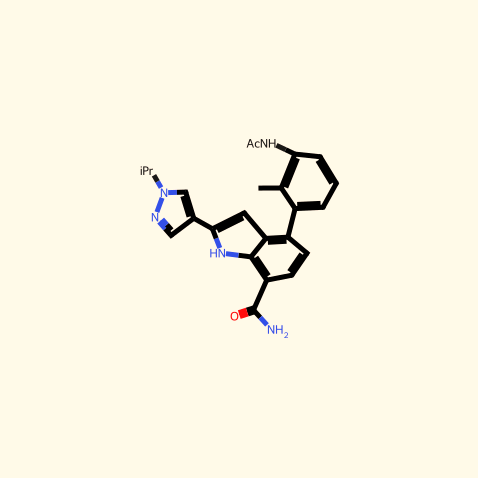 CC(=O)Nc1cccc(-c2ccc(C(N)=O)c3[nH]c(-c4cnn(C(C)C)c4)cc23)c1C